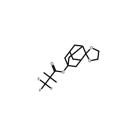 CC(C)(C(=O)OC12CC3CC(C1)C1(OCCO1)C(C3)C2)C(F)(F)F